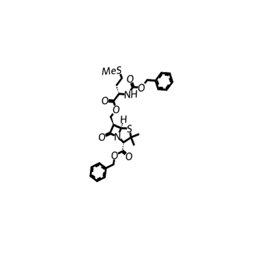 CSCC[C@H](NC(=O)OCc1ccccc1)C(=O)OC[C@@H]1C(=O)N2[C@@H]1SC(C)(C)[C@@H]2C(=O)OCc1ccccc1